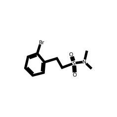 CN(C)S(=O)(=O)CCc1ccccc1Br